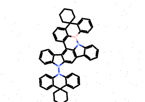 c1ccc2c(c1)B1c3c(cccc3C23CCCCC3)-c2c3c4ccccc4n(N4c5ccccc5C5(CCCCC5)c5ccccc54)c3cc3c4ccccc4n1c23